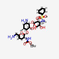 C[C@H]1C[C@@H](N)[C@H](O[C@H]2OC[C@](C)(O)[C@H](N(C)S(=O)(=O)c3ccccc3)[C@H]2O)[C@@H](O)[C@@H]1O[C@H]1OC(CN)=CC[C@H]1NC(=O)OC(C)(C)C